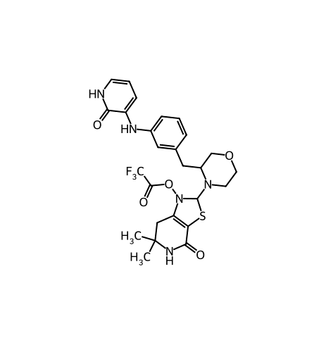 CC1(C)CC2=C(SC(N3CCOCC3Cc3cccc(Nc4ccc[nH]c4=O)c3)N2OC(=O)C(F)(F)F)C(=O)N1